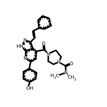 CN(C)C(=O)N1CCN(C(=O)c2cc(-c3ccc(O)cc3)nc3[nH]nc(C=Cc4ccccc4)c23)CC1